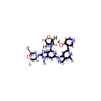 COc1ccncc1-c1cc2c(cnn2-c2cc3c(nc(N4C[C@H](C)O[C@@H](C)C4)n3C)c(N3C[C@H]4C[C@@H]3CO4)n2)c(C)n1